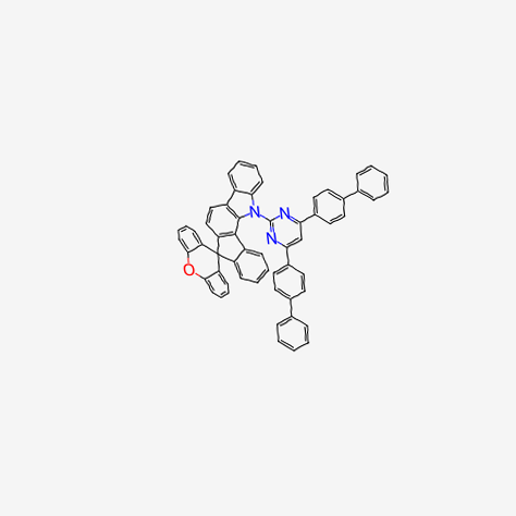 c1ccc(-c2ccc(-c3cc(-c4ccc(-c5ccccc5)cc4)nc(-n4c5ccccc5c5ccc6c(c54)-c4ccccc4C64c5ccccc5Oc5ccccc54)n3)cc2)cc1